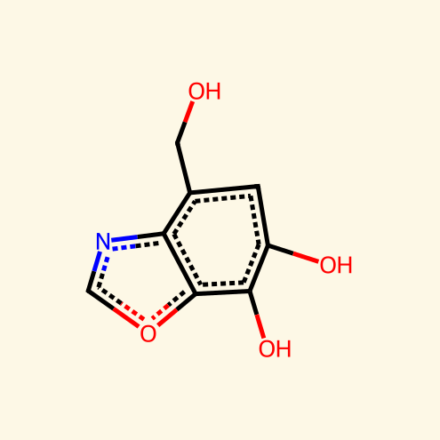 OCc1cc(O)c(O)c2ocnc12